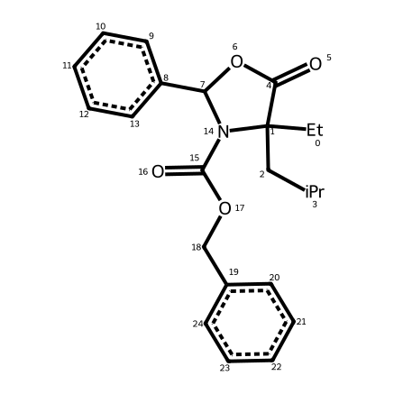 CCC1(CC(C)C)C(=O)OC(c2ccccc2)N1C(=O)OCc1ccccc1